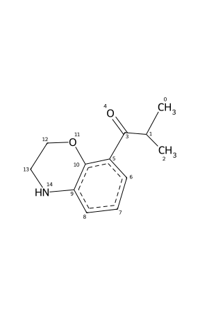 CC(C)C(=O)c1cccc2c1OCCN2